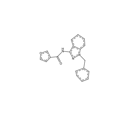 O=C(Nc1nn(Cc2ccccc2)c2ccccc12)c1ccoc1